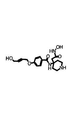 O=C(CC1(NC(=O)c2ccc(OCC#CCO)cc2)CCNCC1)NO